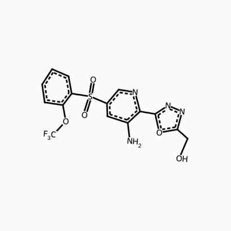 Nc1cc(S(=O)(=O)c2ccccc2OC(F)(F)F)cnc1-c1nnc(CO)o1